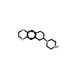 c1c2c(cc3c1OCCO3)CC(N1CCNCC1)CC2